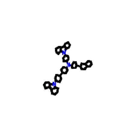 c1ccc2cc(-c3ccc(N(c4ccc(-c5ccc(-n6c7ccccc7c7ccccc76)cc5)cc4)c4ccc(-n5c6ccccc6c6ccccc65)cc4)cc3)ccc2c1